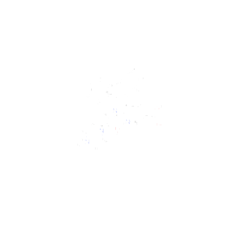 COC(=O)c1cnc2c(c1)c(C1CCCCC1)c(-c1ccccc1)n2CC(=O)N1CCN(C)CC1